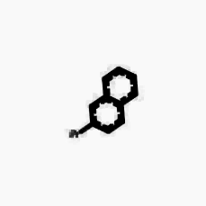 CC(C)c1ccc2ccccc2c1